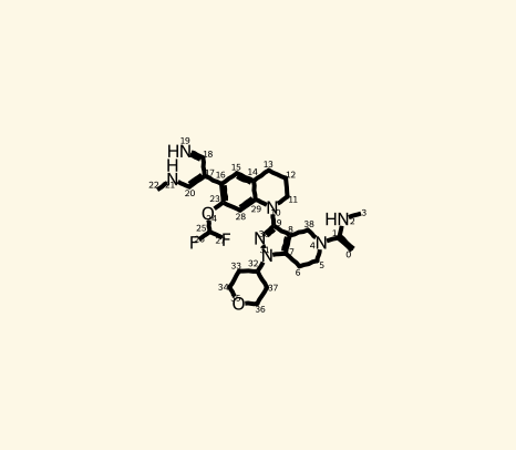 C=C(NC)N1CCc2c(c(N3CCCc4cc(/C(C=N)=C/NC)c(OC(F)F)cc43)nn2C2CCOCC2)C1